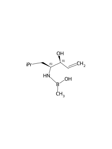 C=C[C@H](O)[C@H](CC(C)C)NB(C)O